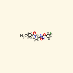 Cc1ccc(C(=O)N2CCCC(c3nc(Oc4cccc(F)c4)no3)C2)cc1